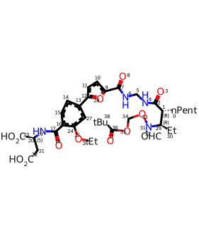 CCCCC[C@@H](C(=O)NCNC(=O)c1ccc(-c2ccc(C(=O)N[C@@H](CC(=O)O)C(=O)O)c(OCC)c2)o1)[C@@H](CC)N(C=O)OCOC(=O)C(C)(C)C